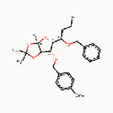 COc1ccc(CO[C@@H]2C3OC(C)(C)O[C@H]3O[C@@H]2[C@@H](CCC(C)=O)OCc2ccccc2)cc1